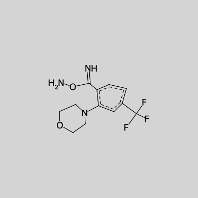 N=C(ON)c1ccc(C(F)(F)F)cc1N1CCOCC1